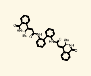 CC[C@H](C)[C@@H]1NC(=O)c2ccccc2C1=CC(=O)Nc1ccccc1-c1ccccc1NC(=O)C=C1c2ccccc2C(=O)N[C@H]1[C@@H](C)CC